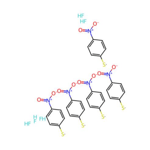 F.F.F.F.F.O=[N+]([O-])c1ccc([S])cc1.O=[N+]([O-])c1ccc([S])cc1.O=[N+]([O-])c1ccc([S])cc1.O=[N+]([O-])c1ccc([S])cc1.O=[N+]([O-])c1ccc([S])cc1